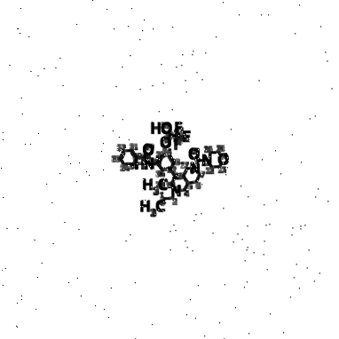 CCCN(CC1CCN(C(=O)N2CCOCC2)CC1)C(C)Cc1cccc(NC(=O)c2ccccc2)c1.O=C(O)C(F)(F)F